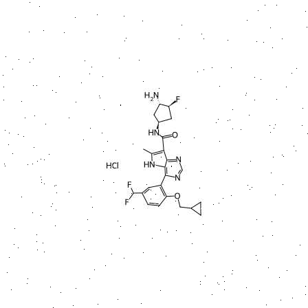 Cc1[nH]c2c(-c3cc(C(F)F)ccc3OCC3CC3)ncnc2c1C(=O)N[C@H]1C[C@H](N)[C@@H](F)C1.Cl